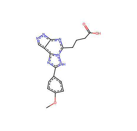 COc1ccc(-c2nc3c4cnnc-4nc(CCCC(=O)O)n3[nH]2)cc1